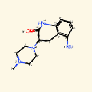 CN1CCN(C2Cc3c([NH])cccc3NC2=O)CC1